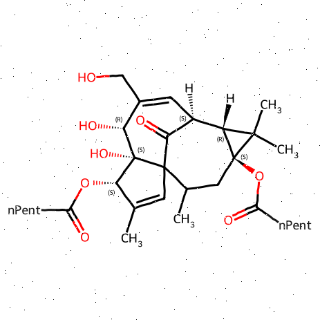 CCCCCC(=O)O[C@H]1C(C)=CC23C(=O)[C@@H](C=C(CO)[C@@H](O)[C@]12O)[C@@H]1C(C)(C)[C@]1(OC(=O)CCCCC)CC3C